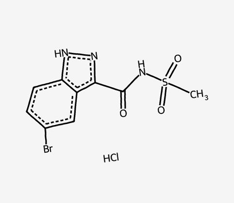 CS(=O)(=O)NC(=O)c1n[nH]c2ccc(Br)cc12.Cl